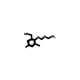 CCOCOc1c(I)cc(I)cc1CO